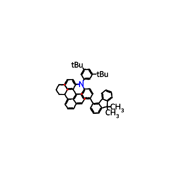 CC(C)(C)c1cc(N(c2ccc(-c3cccc4c3-c3ccccc3C4(C)C)cc2)c2ccccc2-c2cccc3cccc(C4CCCCC4)c23)cc(C(C)(C)C)c1